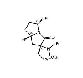 CC(C)C[C@@]1(N(C(=O)O)C(C)(C)C)C[C@@H]2SC[C@@H](C#N)N2C1=O